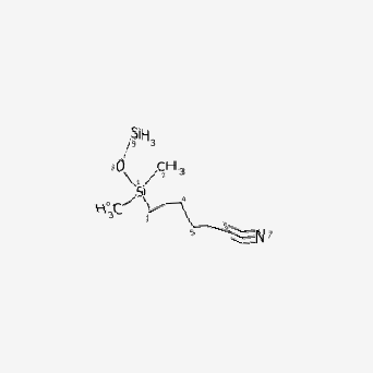 C[Si](C)(CCCC#N)O[SiH3]